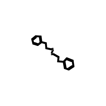 c1ccc(CCSSCCc2ccccc2)cc1